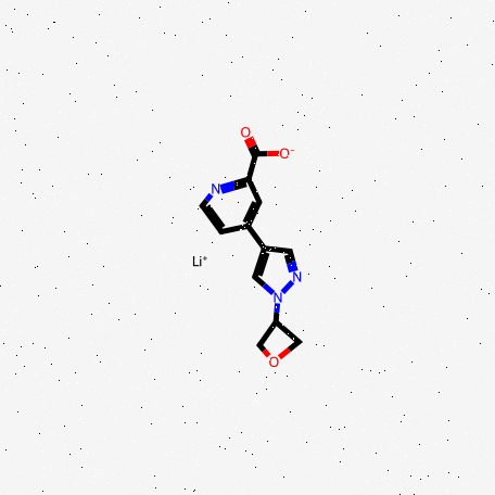 O=C([O-])c1cc(-c2cnn(C3COC3)c2)ccn1.[Li+]